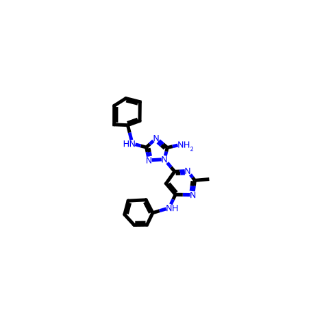 Cc1nc(Nc2ccccc2)cc(-n2nc(Nc3ccccc3)nc2N)n1